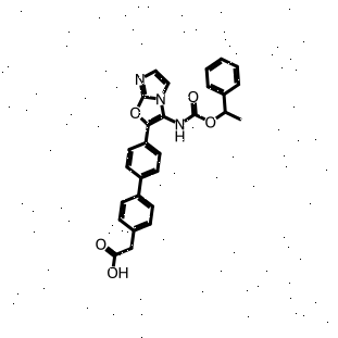 CC(OC(=O)Nc1c(-c2ccc(-c3ccc(CC(=O)O)cc3)cc2)oc2nccn12)c1ccccc1